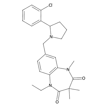 CCN1C(=O)C(C)(C)C(=O)N(C)c2cc(CN3CCCC3c3ccccc3Cl)ccc21